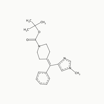 Cn1cnc(C(=C2CCN(C(=O)OC(C)(C)C)CC2)c2ccccc2)c1